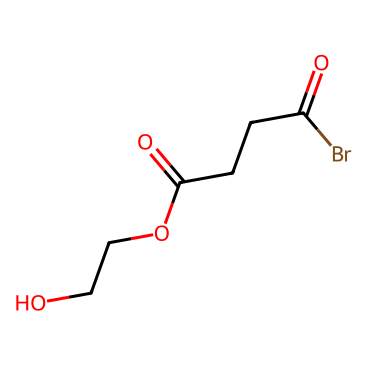 O=C(Br)CCC(=O)OCCO